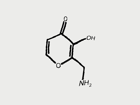 NCc1occc(=O)c1O